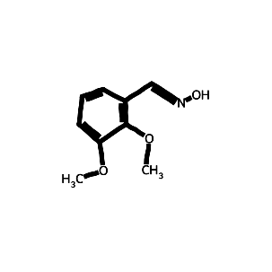 COc1cccc(/C=N/O)c1OC